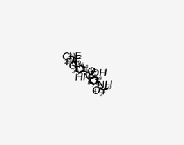 C=C(C)C(=O)Nc1ccc(NC(=O)c2ccc(OC(F)(F)C(F)Cl)cc2)c(O)c1